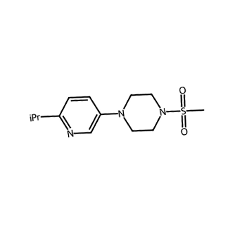 CC(C)c1ccc(N2CCN(S(C)(=O)=O)CC2)cn1